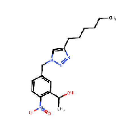 CCCCCCc1cn(Cc2ccc([N+](=O)[O-])c(C(C)O)c2)nn1